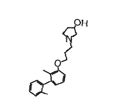 Cc1ccccc1-c1cccc(OCCCN2CCC(O)C2)c1C